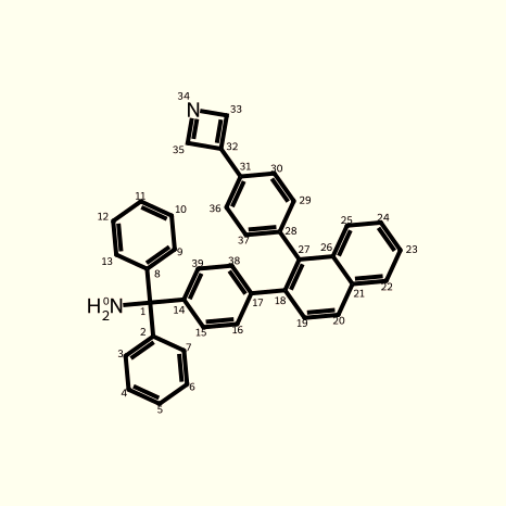 NC(c1ccccc1)(c1ccccc1)c1ccc(-c2ccc3ccccc3c2-c2ccc(C3=CN=C3)cc2)cc1